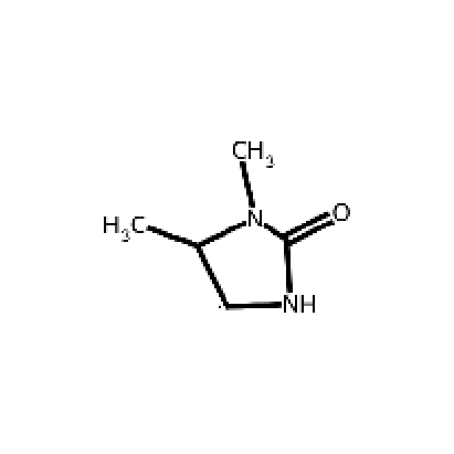 CC1[CH]NC(=O)N1C